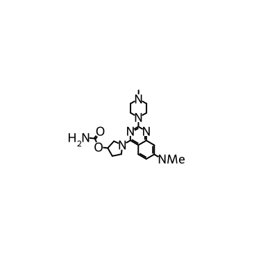 CNc1ccc2c(N3CCC(OC(N)=O)C3)nc(N3CCN(C)CC3)nc2c1